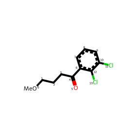 COCCCC(=O)c1cccc(Cl)c1Cl